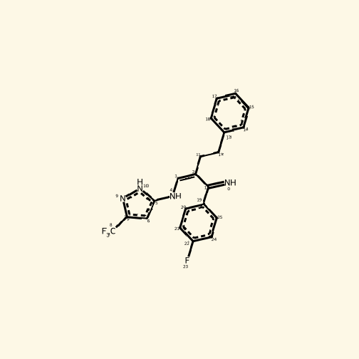 N=C(/C(=C\Nc1cc(C(F)(F)F)n[nH]1)CCc1ccccc1)c1ccc(F)cc1